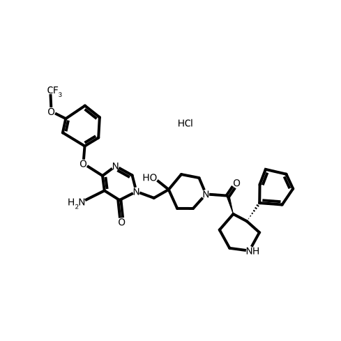 Cl.Nc1c(Oc2cccc(OC(F)(F)F)c2)ncn(CC2(O)CCN(C(=O)[C@@H]3CCNC[C@H]3c3ccccc3)CC2)c1=O